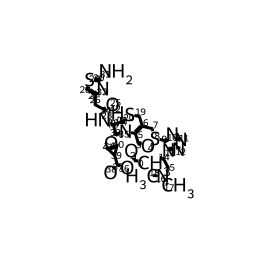 CC(OC(=O)C1=C(CSc2nnnn2CCN(C)C)CS[C@H]2[C@H](NC(=O)Cc3csc(N)n3)C(=O)N12)OC(=O)C1CC1